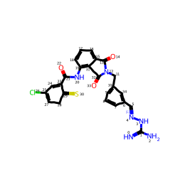 N=C(N)N/N=C/c1cccc(CN2C(=O)c3cccc(NC(=O)C4=CC(Cl)=CCC4=S)c3C2=O)c1